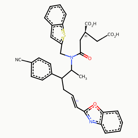 CC(C(C/C=C/c1nc2ccccc2o1)c1ccc(C#N)cc1)N(Cc1cc2ccccc2s1)C(=O)C[C@H](CC(=O)O)C(=O)O